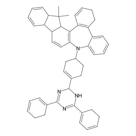 CC1(C)C2C=CC=CC2C2C=CC3=C(C4=C(CCC=C4)c4ccccc4N3C3CC=C(C4N=C(C5=CC=CCC5)N=C(C5=CC=CCC5)N4)CC3)C21